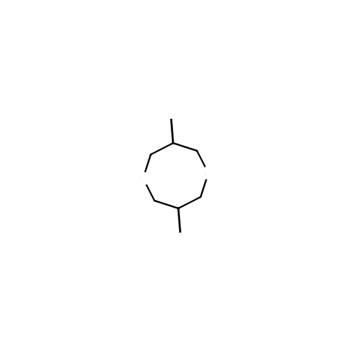 CC1COCC(C)COC1